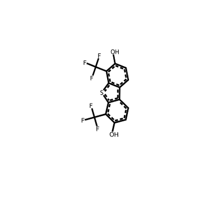 Oc1ccc2c(sc3c(C(F)(F)F)c(O)ccc32)c1C(F)(F)F